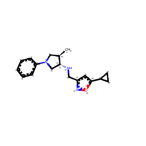 C[C@@H]1CN(c2ccccc2)C[C@H]1NCc1cc(C2CC2)on1